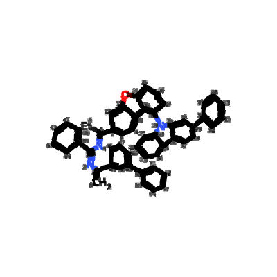 C=C(/N=C(\N=C(/CC)c1ccc2c(c1)oc1cccc(-n3c4ccccc4c4ccc(-c5ccccc5)cc43)c12)c1ccccc1)c1cccc(-c2ccccc2)c1